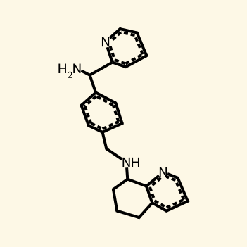 NC(c1ccc(CNC2CCCc3cccnc32)cc1)c1ccccn1